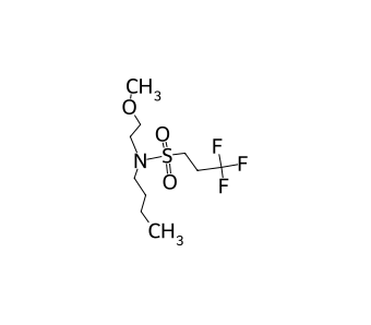 CCCCN(CCOC)S(=O)(=O)CCC(F)(F)F